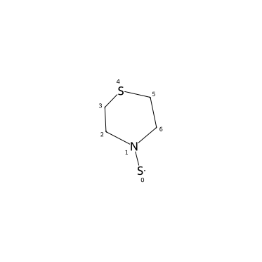 [S]N1CCSCC1